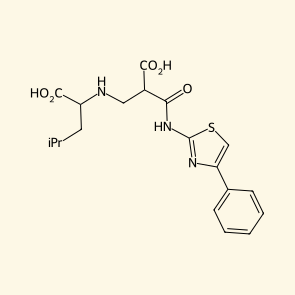 CC(C)CC(NCC(C(=O)O)C(=O)Nc1nc(-c2ccccc2)cs1)C(=O)O